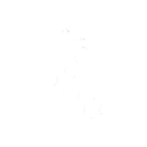 Nc1cc(CCc2cccc(OCc3ccccc3)c2)n[nH]1